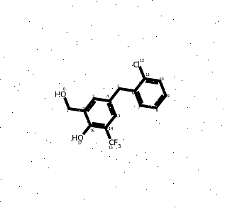 OCc1cc(Cc2ccccc2Cl)cc(C(F)(F)F)c1O